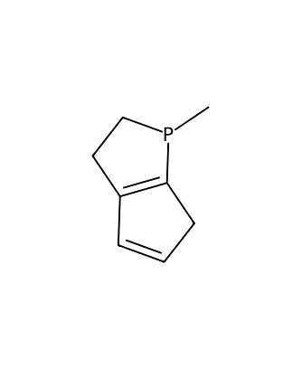 CP1CCC2=C1CC=C2